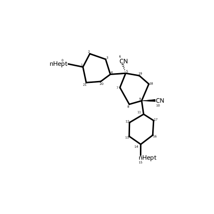 CCCCCCCC1CCC([C@]2(C#N)CC[C@@](C#N)(C3CCC(CCCCCCC)CC3)CC2)CC1